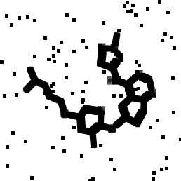 Cc1cc(OCCCC(C)C)cnc1Oc1ccc2ncnc(Nc3cnn(C)n3)c2c1